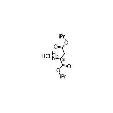 CC(C)OC(=O)C[C@H](N)C(=O)OC(C)C.Cl